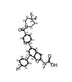 CN(C(=O)O)c1cc2cc(-c3ccc(C(=O)N4CCC(F)(F)CC4)cn3)cc(-c3ccc(F)cc3)c2o1